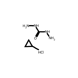 CC1CC1.Cl.NNC(=O)NN